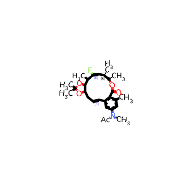 CC(=O)N(C)c1cc(C)c2c(c1)/C=C/CC1OC(C)(C)OC1C(C)/C(F)=C\[C@@H](C)[C@H](C)OC2=O